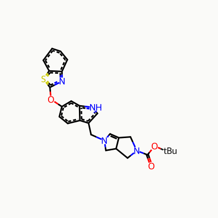 CC(C)(C)OC(=O)N1CC2=CN(Cc3c[nH]c4cc(Oc5nc6ccccc6s5)ccc34)CC2C1